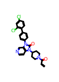 C=CC(=O)N1CCC(n2c(=O)n(-c3ccc(-c4ccc(Cl)cc4Cl)cc3)c3cnccc32)CC1